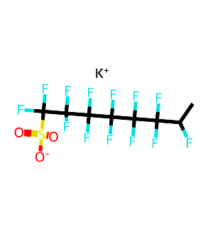 CC(F)C(F)(F)C(F)(F)C(F)(F)C(F)(F)C(F)(F)C(F)(F)S(=O)(=O)[O-].[K+]